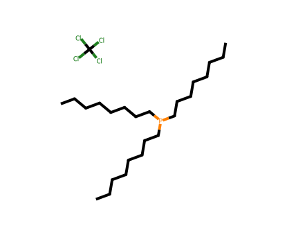 CCCCCCCCP(CCCCCCCC)CCCCCCCC.ClC(Cl)(Cl)Cl